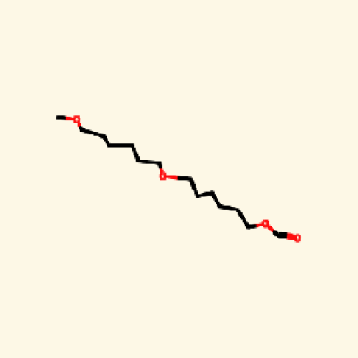 COCCCCCCOCCCCCCOC=O